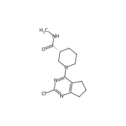 CNC(=O)[C@@H]1CCCN(c2nc(Cl)nc3c2CCC3)C1